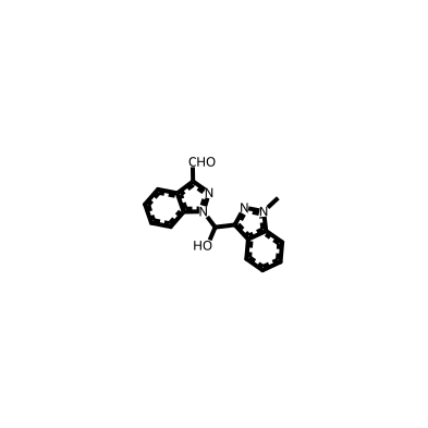 Cn1nc(C(O)n2nc(C=O)c3ccccc32)c2ccccc21